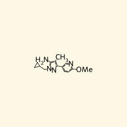 COc1ccc(-c2nn(CC3CC3)c(N)c2C)cn1